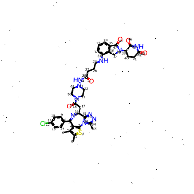 Cc1sc2c(c1C)C(c1ccc(Cl)cc1)=N[C@@H](CC(=O)N1CCN(NC(=O)CCCNc3cccc4c3CN(C3CCC(=O)NC3=O)C4=O)CC1)c1nnc(C)n1-2